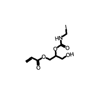 C=CC(=O)OCC(CO)OC(=O)NCI